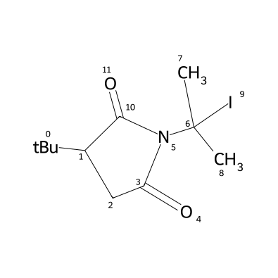 CC(C)(C)C1CC(=O)N(C(C)(C)I)C1=O